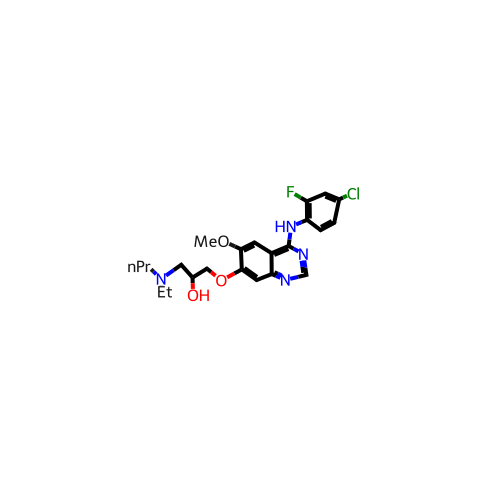 CCCN(CC)CC(O)COc1cc2ncnc(Nc3ccc(Cl)cc3F)c2cc1OC